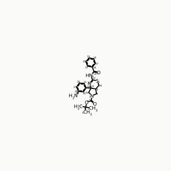 CC(C)(C)OC(=O)N1CC2CSC(NC(=O)c3ccccc3)=NC2(c2cccc(N)c2)C1